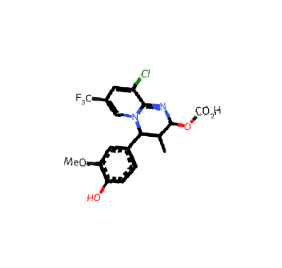 COc1cc(C2C(C)C(OC(=O)O)N=C3C(Cl)=CC(C(F)(F)F)=CN32)ccc1O